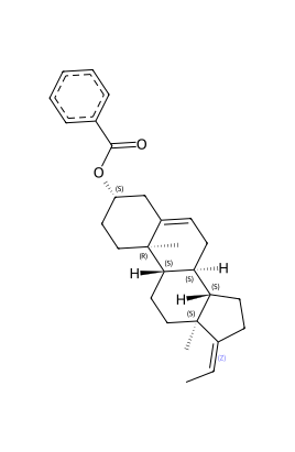 C/C=C1/CC[C@H]2[C@@H]3CC=C4C[C@@H](OC(=O)c5ccccc5)CC[C@]4(C)[C@H]3CC[C@]12C